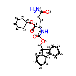 NC(=O)CC[C@H](NC(=O)OCC1c2ccccc2-c2ccccc21)C(=O)OC1CCCCC1